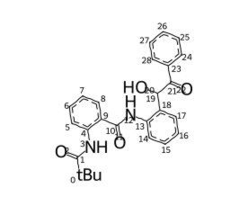 CC(C)(C)C(=O)Nc1ccccc1C(=O)Nc1ccccc1C(O)C(=O)c1ccccc1